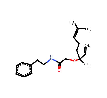 C=CC(C)(CCC=C(C)C)OCC(=O)NCCc1ccccc1